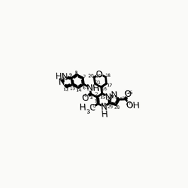 CC1=C(C(=O)Nc2ccc3[nH]ncc3c2)C(C2CCOCC2)n2nc(C(=O)O)cc2N1